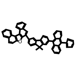 CC1(C)c2ccc(-c3cc4ccccc4c4c3oc3ccc5ccccc5c34)cc2-c2ccc(-c3c4ccccc4c(-c4ccccc4)c4ccccc34)cc21